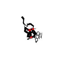 C=CCN1CC[C@@]23CC(O)C(OC)CC2C1Cc1ccc(OC)c(O)c13